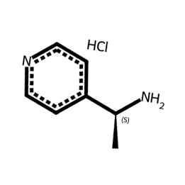 C[C@H](N)c1ccncc1.Cl